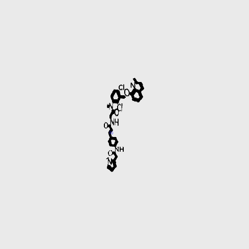 Cc1ccc2cccc(OCc3c(Cl)ccc(N(C)C(=O)CNC(=O)/C=C/c4ccc(NC(=O)Cc5cccn5C)cc4)c3Cl)c2n1